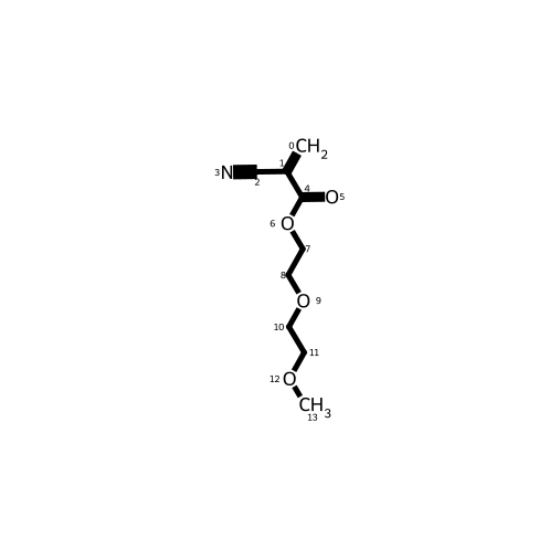 C=C(C#N)C(=O)OCCOCCOC